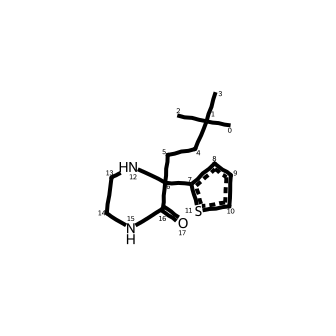 CC(C)(C)CCC1(c2cccs2)NCCNC1=O